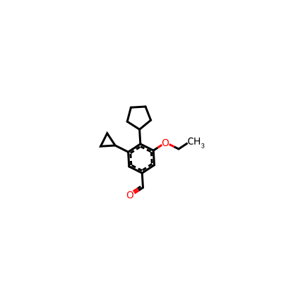 CCOc1cc(C=O)cc(C2CC2)c1C1CCCC1